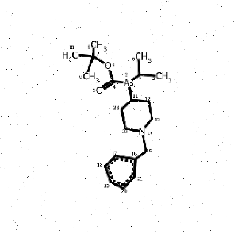 CC(C)[As](C(=O)OC(C)(C)C)C1CCN(Cc2ccccc2)CC1